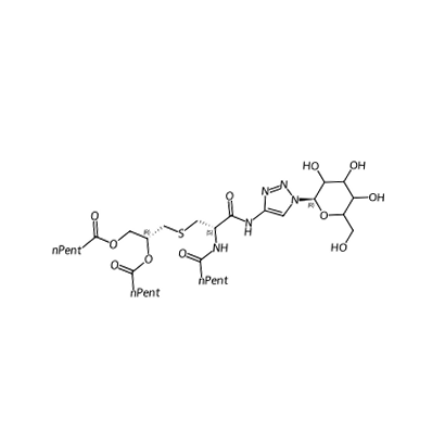 CCCCCC(=O)N[C@H](CSC[C@@H](COC(=O)CCCCC)OC(=O)CCCCC)C(=O)Nc1cn([C@@H]2OC(CO)C(O)C(O)C2O)nn1